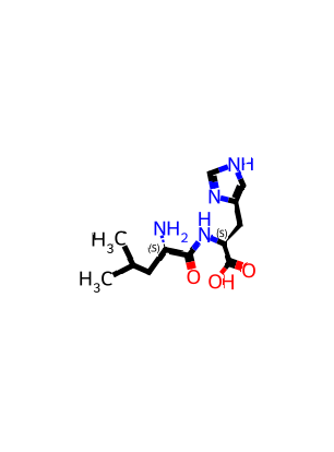 CC(C)C[C@H](N)C(=O)N[C@@H](Cc1c[nH]cn1)C(=O)O